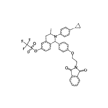 CC1Cc2cc(OS(=O)(=O)C(F)(F)F)ccc2C(c2ccc(OCCN3C(=O)c4ccccc4C3=O)cc2)N1c1ccc(C2CC2)cc1